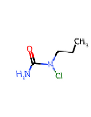 CCCN(Cl)C(N)=O